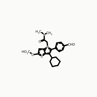 CN(C)C(=O)Cn1c(-c2ccc(C=O)cc2)c(C2CCCCC2)c2sc(OC(=O)O)cc21